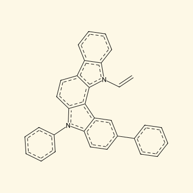 C=Cn1c2ccccc2c2ccc3c(c4cc(-c5ccccc5)ccc4n3-c3ccccc3)c21